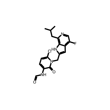 CC(C)Cc1ncc(F)c2cc(Cn3c(Cl)ccc(NC=O)c3=O)[nH]c12